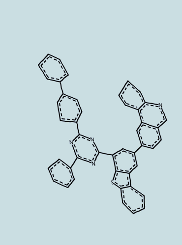 c1ccc(-c2ccc(-c3nc(-c4ccccc4)nc(-c4cc(-c5ccc6cnc7ccccc7c6c5)cc5c4sc4ccccc45)n3)cc2)cc1